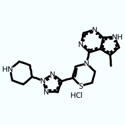 Cc1c[nH]c2ncnc(N3C=C(c4cnn(C5CCNCC5)n4)SCC3)c12.Cl